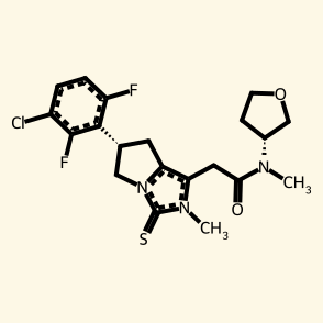 CN(C(=O)Cc1c2n(c(=S)n1C)C[C@H](c1c(F)ccc(Cl)c1F)C2)[C@@H]1CCOC1